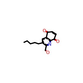 CCCCCc1cc2c(nc1C=O)C(=O)C=CC2=O